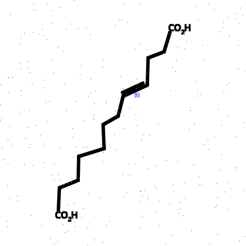 O=C(O)CC/C=C/CCCCCCC(=O)O